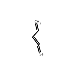 C=CC=C=[Se]